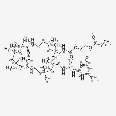 C=CC(=O)OCCOC(=O)NCC(C)(C)CC(C)CCNC(=O)C(C)(N)OC(C)CC(C)(C)OC(=O)NCCC(C)(C)CC(C)CNC(=O)Nc1nc(=O)cc(C)[nH]1